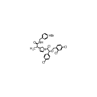 Br.CC(C(=O)NCc1ccccc1)N1C=CN(C(Cl)C(OCc2ccc(Cl)cc2Cl)c2ccc(Cl)cc2)C1